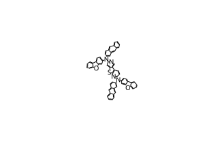 c1ccc2cc3cc(N(c4ccc5c(c4)oc4ccccc45)c4cc5sc6nc(N(c7ccc8cc9ccccc9cc8c7)c7ccc8c(c7)oc7ccccc78)ccc6c5cn4)ccc3cc2c1